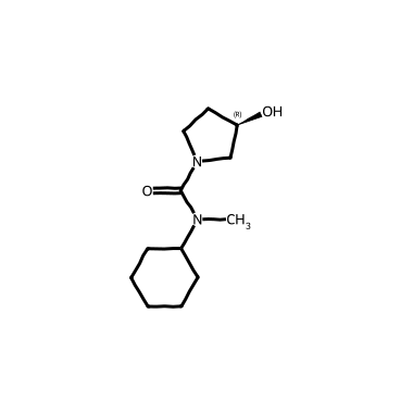 CN(C(=O)N1CC[C@@H](O)C1)C1CCCCC1